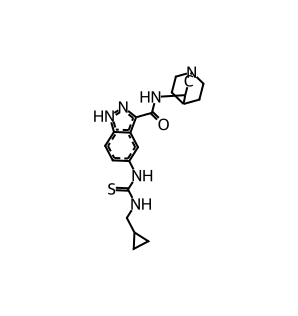 O=C(NC1CN2CCC1CC2)c1n[nH]c2ccc(NC(=S)NCC3CC3)cc12